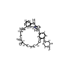 CN1CCN(c2ccc3cc2OCCCCCC(=O)N(C)CCCNc2ncnc4c2/C(=C/N3)C(=O)N4)CC1